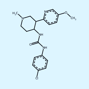 COc1ccc(C2CN(C)CCC2NC(=O)Nc2ccc(Cl)cc2)nc1